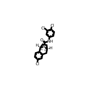 O=C(Nc1ccc(Cl)c(Cl)c1)N1[C@H]2CC[C@@H]1c1ccc(Cl)cc1C2